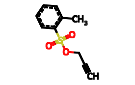 C#CCOS(=O)(=O)c1ccccc1C